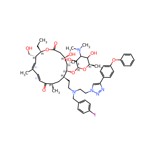 CC[C@H]1OC(=O)C[C@@H](O)[C@H](C)[C@@H](O[C@@H]2O[C@H](C)C(O)C(N(C)C)C2O)[C@@H](CCN(CCn2cc(-c3ccc(Oc4ccccc4)cc3)nn2)Cc2ccc(I)cc2)C[C@@H](C)C(=O)/C=C/C(C)=C/[C@@H]1CO